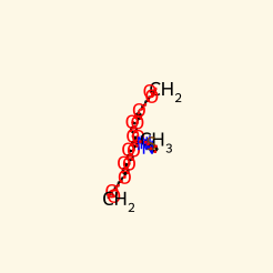 C=CC(=O)OCCCCCCOc1ccc(OC(=O)[C@H]2CC[C@H](OC(=O)c3ccc(OC(=O)[C@H]4CC[C@H](OC(=O)c5ccc(OCCCCCCOC(=O)C=C)cc5)CC4)cc3/C=N/N(C)c3nc4ccccc4s3)CC2)cc1